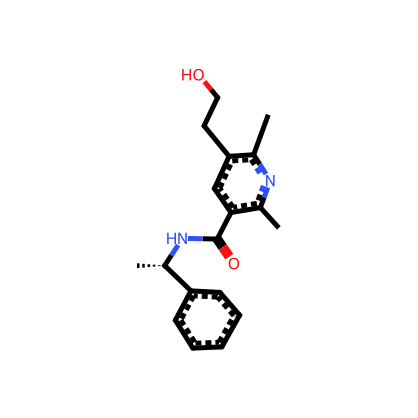 Cc1nc(C)c(C(=O)N[C@@H](C)c2ccccc2)cc1CCO